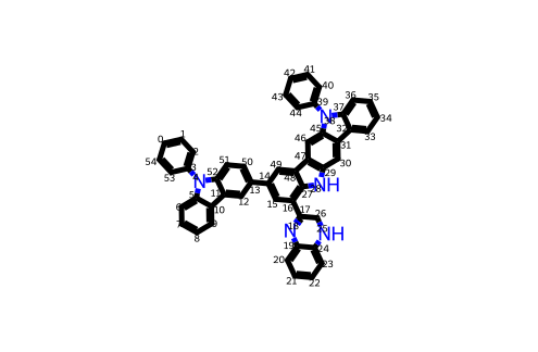 c1ccc(-n2c3ccccc3c3cc(-c4cc(C5=Nc6ccccc6NC5)c5[nH]c6cc7c8ccccc8n(-c8ccccc8)c7cc6c5c4)ccc32)cc1